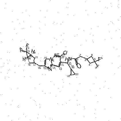 O=C(CC1CC(F)(F)C1)NC(c1cc2nc(CC3C[C@@H]4[C@H](C3)C4(F)F)cn2nc1Cl)C1CC1